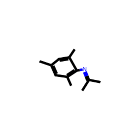 CC(C)=Nc1c(C)cc(C)cc1C